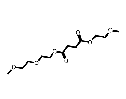 COCCOCCOC(=O)CCC(=O)OCCOC